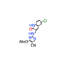 COc1nc(NCc2cc3cc(Cl)ccc3[nH]c2=O)ncc1C#N